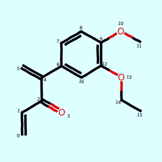 C=CC(=O)C(=C)c1ccc(OC)c(OCC)c1